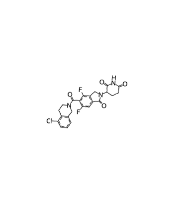 O=C1CCC(N2Cc3c(cc(F)c(C(=O)N4CCc5c(Cl)cccc5C4)c3F)C2=O)C(=O)N1